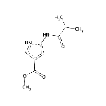 COC(=O)c1cc(NC(=O)C(C)C)[nH]n1